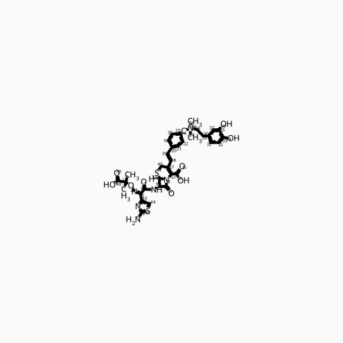 CC(C)(O/N=C(\C(=O)N[C@@H]1C(=O)N2C(C(=O)O)=C(/C=C/c3ccc(C[N+](C)(C)CCc4ccc(O)c(O)c4)cc3)CS[C@H]12)c1csc(N)n1)C(=O)O